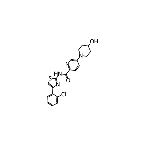 O=C(Nc1nc(-c2ccccc2Cl)cs1)c1ccc(N2CCC(O)CC2)cn1